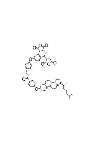 CC(C)CCC[C@@H](C)[C@H]1CCC2C3CC=C4CC(Oc5ccc(C(=O)C=Cc6ccc(Oc7ccc8c(c7)C7C(=O)OC(=O)C7CC8C7CC(=O)OC7=O)cc6)cc5)CC[C@]4(C)C3CC[C@@]21C